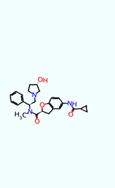 CN(C(=O)[C@@H]1Cc2cc(NC(=O)C3CC3)ccc2O1)[C@H](CN1CC[C@H](O)C1)c1ccccc1